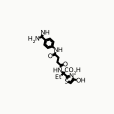 CCC(NC(=O)CCC(=O)Nc1ccc(C(=N)N)cc1)(C(=O)O)c1nc(O)cs1